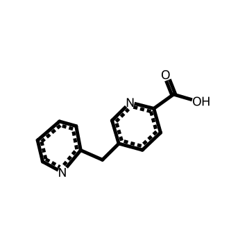 O=C(O)c1ccc(Cc2ccccn2)cn1